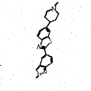 CN1CCC(c2ccc3nc(-c4ccc5nn(C)cc5c4)sc3c2)CC1